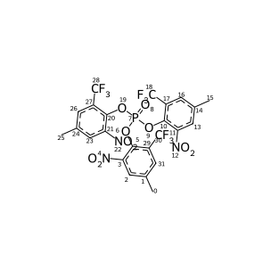 Cc1cc([N+](=O)[O-])c(OP(=O)(Oc2c([N+](=O)[O-])cc(C)cc2C(F)(F)F)Oc2c([N+](=O)[O-])cc(C)cc2C(F)(F)F)c(C(F)(F)F)c1